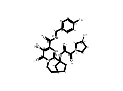 O=C(NC12CCC(CCn3c1nc(C(=O)NCc1ccc(F)cc1)c(O)c3=O)C2)C(=O)N1CC[C@H](F)C1